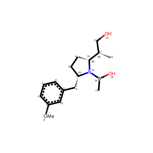 COc1cccc(C[C@@H]2CC[C@H]([C@@H](C)CO)N2B(C)O)c1